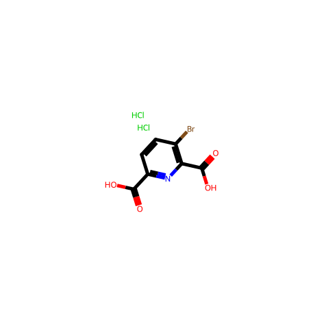 Cl.Cl.O=C(O)c1ccc(Br)c(C(=O)O)n1